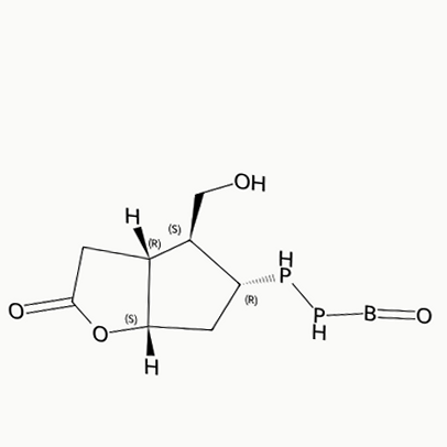 O=BPP[C@@H]1C[C@@H]2OC(=O)C[C@@H]2[C@H]1CO